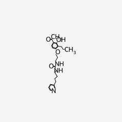 CCCc1c(OCCCNC(=O)NCCCCc2cccnc2)ccc(C(C)=O)c1O